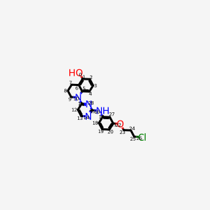 Oc1cccc2c1CCCN2c1ccnc(Nc2cccc(OCCCCl)c2)n1